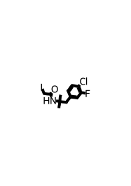 CC(C)(Cc1ccc(Cl)c(F)c1)NC(=O)CI